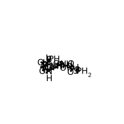 CNC(CC(=O)NC(C)NC(=O)CCN1C(=O)CC(SB(P)I)C1=O)CC(=O)NC(C)NC(=O)C(C)N1C(=O)CC(SB(P)I)C1=O